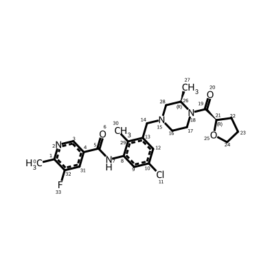 Cc1ncc(C(=O)Nc2cc(Cl)cc(CN3CCN(C(=O)[C@H]4CCCO4)[C@H](C)C3)c2C)cc1F